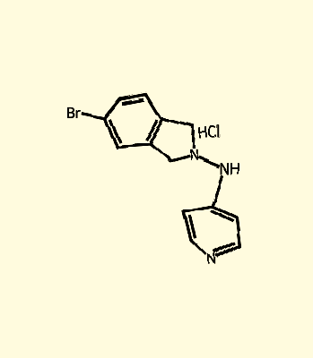 Brc1ccc2c(c1)CN(Nc1ccncc1)C2.Cl